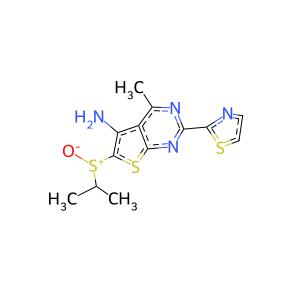 Cc1nc(-c2nccs2)nc2sc([S+]([O-])C(C)C)c(N)c12